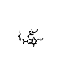 CCOc1nc(C)c2nc(/C(C)=C/N=C\CF)n(Cc3cnn(CC)c3)c2n1